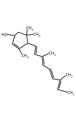 C/C=C(C)/C=C/C=C(C)/C=C/C1C(C)=CC(O)CC1(C)C